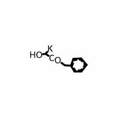 O[CH]([K])COCc1ccccc1